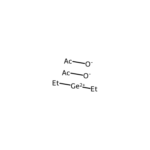 CC(=O)[O-].CC(=O)[O-].C[CH2][Ge+2][CH2]C